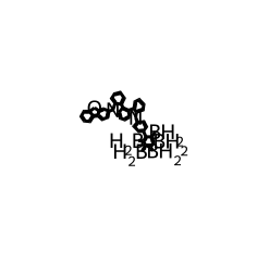 Bc1c(B)c(B)c(-c2ccc(-n3c4ccccc4c4c5c6ccccc6n(-c6ccc7c(c6)oc6ccccc67)c5ccc43)cc2)c(B)c1B